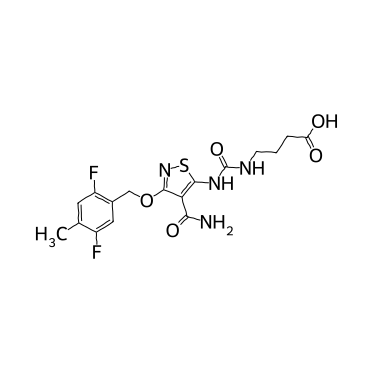 Cc1cc(F)c(COc2nsc(NC(=O)NCCCC(=O)O)c2C(N)=O)cc1F